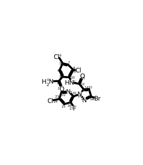 NC(=O)c1cc(Cl)cc(Cl)c1NC(=O)c1cc(Br)nn1-c1ncc(Cl)cc1F